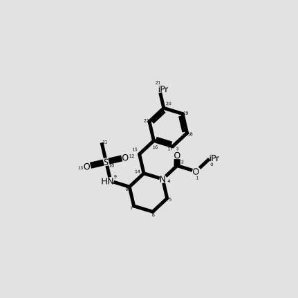 CC(C)OC(=O)N1CCCC(NS(C)(=O)=O)C1Cc1cccc(C(C)C)c1